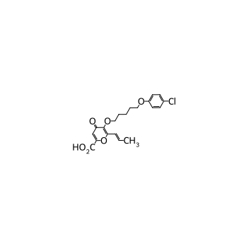 CC=Cc1oc(C(=O)O)cc(=O)c1OCCCCCOc1ccc(Cl)cc1